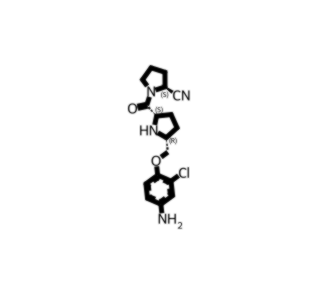 N#C[C@@H]1CCCN1C(=O)[C@@H]1CC[C@H](COc2ccc(N)cc2Cl)N1